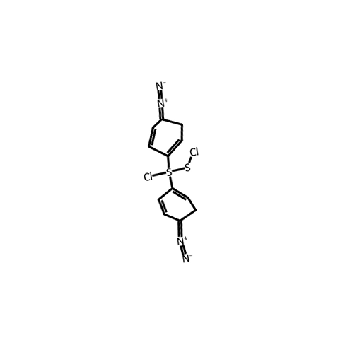 [N-]=[N+]=C1C=CC(S(Cl)(SCl)C2=CCC(=[N+]=[N-])C=C2)=CC1